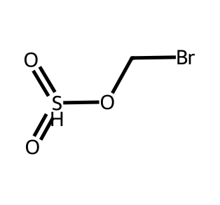 O=[SH](=O)OCBr